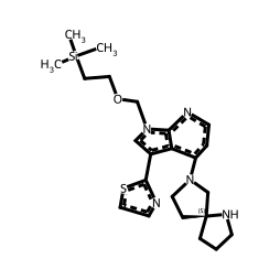 C[Si](C)(C)CCOCn1cc(-c2nccs2)c2c(N3CC[C@@]4(CCCN4)C3)ccnc21